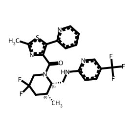 Cc1nc(C(=O)N2CC(F)(F)C[C@@H](C)[C@H]2CNc2ccc(C(F)(F)F)cn2)c(-c2ccccn2)s1